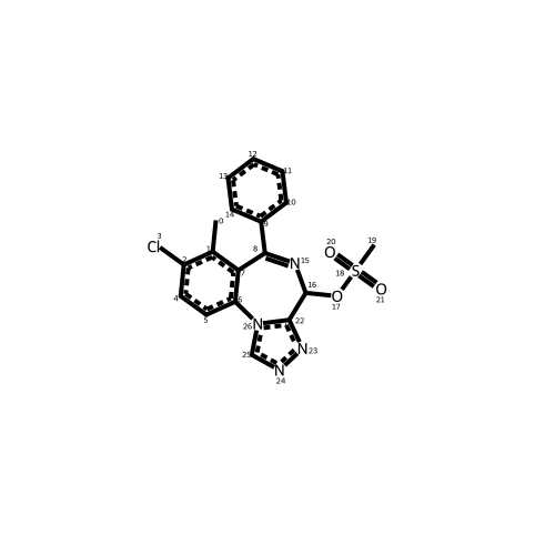 Cc1c(Cl)ccc2c1C(c1ccccc1)=NC(OS(C)(=O)=O)c1nncn1-2